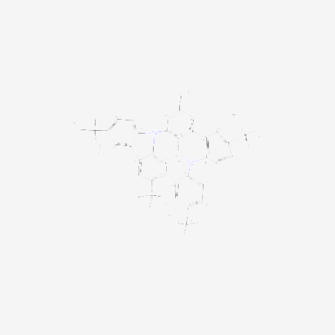 Cc1cc2c3c(c1)-n1c4ccc(C(C)(C)C)cc4c4cc(C(C)(C)C)cc(c41)B3N(c1ccc(C(C)(C)C)cc1)c1ccc(C(C)(C)C)cc1-2